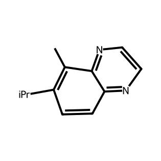 Cc1c(C(C)C)ccc2nccnc12